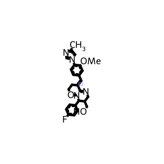 COc1cc(/C=C2\CCON3C2=NCC(CO)C3c2ccc(F)cc2)ccc1-n1cnc(C)c1